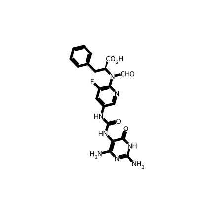 Nc1nc(N)c(NC(=O)Nc2cnc(N(C=O)[C@@H](Cc3ccccc3)C(=O)O)c(F)c2)c(=O)[nH]1